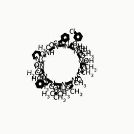 CC(C)C[C@H]1C(=O)N[C@@H](COC(C)(C)C)C(=O)N(C)[C@@H](Cc2ccccc2)C(=O)N(C)[C@@H](C(C)C)C(=O)N[C@H](C(=O)N2CCCCC2)CC(=O)N[C@H](C)C(=O)N(C)[C@@H](Cc2ccccc2)C(=O)NC(COc2cccc(Cl)c2)C(O)N(C)[C@@H](C(C)C)C(=O)N[C@@H]([C@@H](C)O)C(=O)N(C)CC(=O)N1C